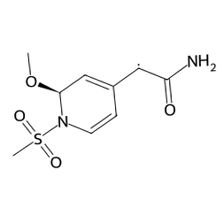 CO[C@H]1C=C([CH]C(N)=O)C=CN1S(C)(=O)=O